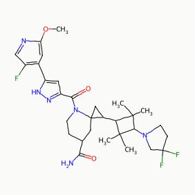 COc1cc(-c2cc(C(=O)N3CCC(C(N)=O)CC34CC4C3C(C)(C)C(N4CCC(F)(F)C4)C3(C)C)n[nH]2)c(F)cn1